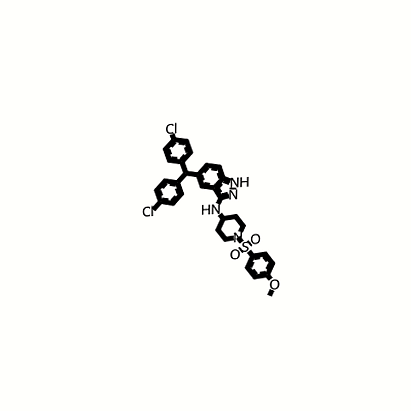 COc1ccc(S(=O)(=O)N2CCC(Nc3n[nH]c4ccc(C(c5ccc(Cl)cc5)c5ccc(Cl)cc5)cc34)CC2)cc1